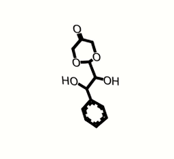 O=C1COC(C(O)C(O)c2ccccc2)OC1